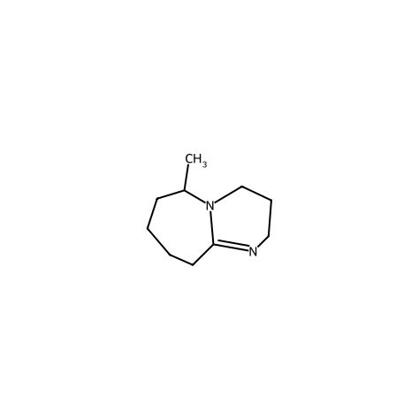 CC1CCCCC2=NCCCN21